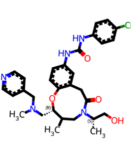 CC1CN([C@@H](C)CO)C(=O)Cc2cc(NC(=O)Nc3ccc(Cl)cc3)ccc2O[C@H]1CN(C)Cc1ccncc1